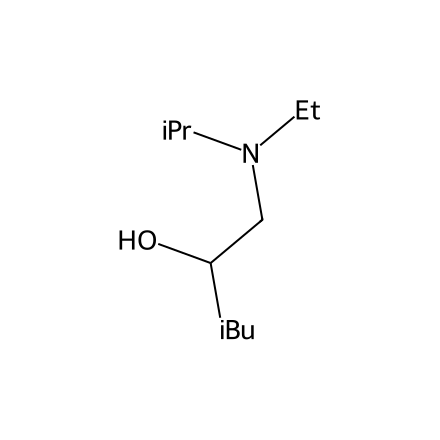 CCC(C)C(O)CN(CC)C(C)C